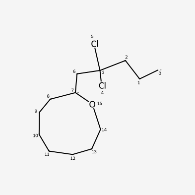 [CH2]CCC(Cl)(Cl)C[C]1CCCCCCCO1